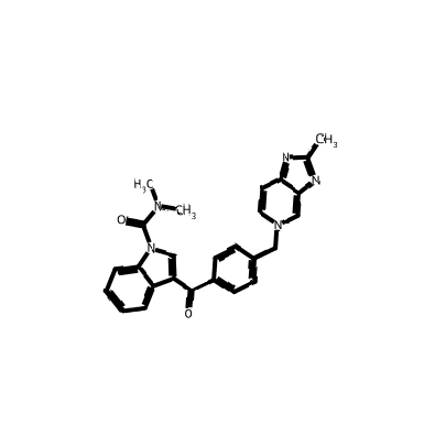 Cc1nc2ccn(Cc3ccc(C(=O)c4cn(C(=O)N(C)C)c5ccccc45)cc3)cc-2n1